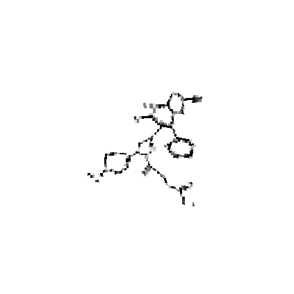 COC1C=CC(C2CC(c3c(-c4ccccc4)c4cc(Br)ccc4[nH]c3=O)=NN2C(=O)CCC(=O)O)=CC1